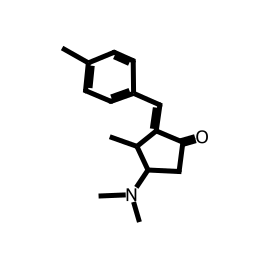 Cc1ccc(C=C2C(=O)CC(N(C)C)C2C)cc1